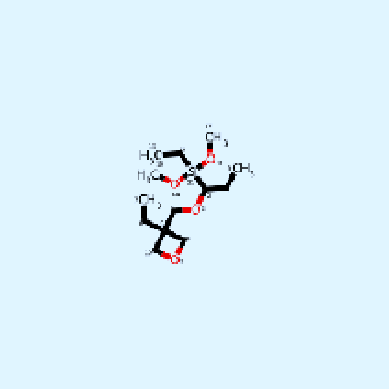 CCC(OCC1(CC)COC1)[Si](CC)(OC)OC